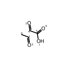 CC=O.O=CC(=O)O